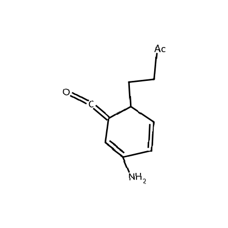 CC(=O)CCC1C=CC(N)=CC1=C=O